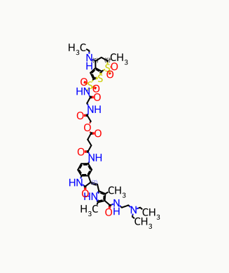 CCN[C@H]1C[C@H](C)S(=O)(=O)c2sc(S(=O)(=O)NC(=O)CNC(=O)COC(=O)CCC(=O)Nc3ccc4c(c3)/C(=C/c3[nH]c(C)c(C(=O)NCCN(CC)CC)c3C)C(=O)N4)cc21